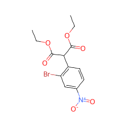 CCOC(=O)C(C(=O)OCC)c1ccc([N+](=O)[O-])cc1Br